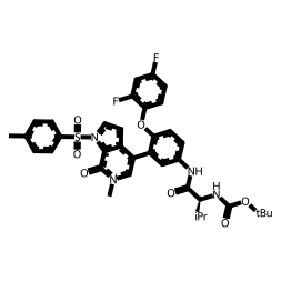 Cc1ccc(S(=O)(=O)n2ccc3c(-c4cc(NC(=O)[C@@H](NC(=O)OC(C)(C)C)C(C)C)ccc4Oc4ccc(F)cc4F)cn(C)c(=O)c32)cc1